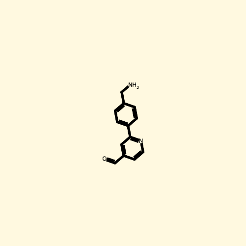 NCc1ccc(-c2cc(C=O)ccn2)cc1